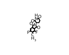 Cc1c(F)cc2c(c1F)C(=O)N([C@H]1CCC(=O)NC1=O)C2=O